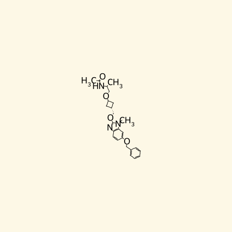 CC(=O)N[C@@H](C)CO[C@H]1C[C@H](COc2nc3ccc(OCc4ccccc4)cc3n2C)C1